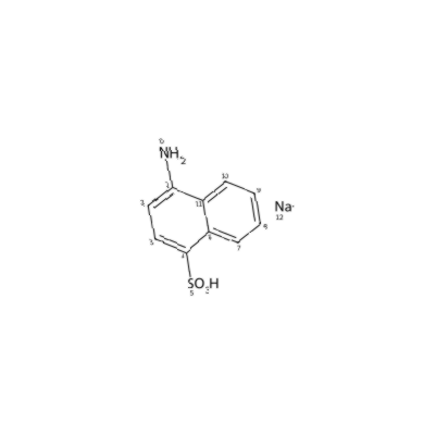 Nc1ccc(S(=O)(=O)O)c2ccccc12.[Na]